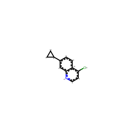 Clc1ccnc2cc(C3CC3)ccc12